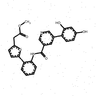 COC(=O)Cc1ccc(-c2ccccc2NC(=O)c2cncc(-c3ccc(O)cc3O)c2)s1